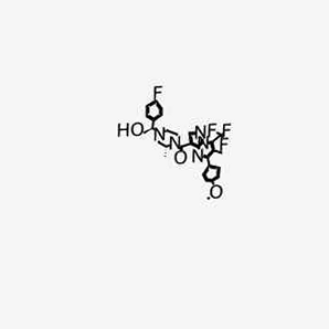 COc1ccc(-c2nc3c(C(=O)N4CCN([C@@H](CO)c5ccc(F)cc5)C[C@H]4C)cnn3c(C(F)(F)F)c2C)cc1